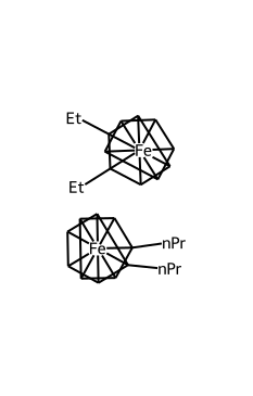 CCC[C]12[CH]3[CH]4[CH]5[CH]1[Fe]45321678[CH]2[CH]1[CH]6[C]7(CCC)[CH]28.CC[C]12[CH]3[CH]4[CH]5[C]1(CC)[Fe]43521678[CH]2[CH]1[CH]6[CH]7[CH]28